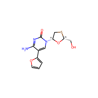 Nc1nc(=O)n([C@@H]2CS[C@H](CO)O2)cc1-c1ccco1